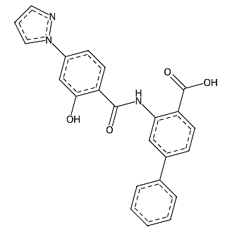 O=C(Nc1cc(-c2ccccc2)ccc1C(=O)O)c1ccc(-n2cccn2)cc1O